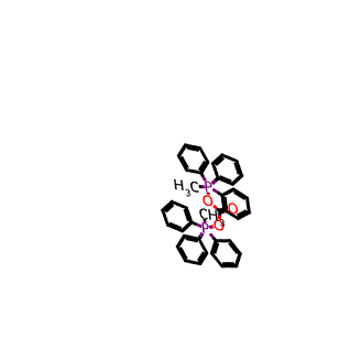 CP(OC(=O)OP(C)(c1ccccc1)(c1ccccc1)c1ccccc1)(c1ccccc1)(c1ccccc1)c1ccccc1